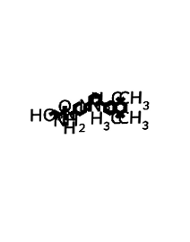 CC1(C)CCC(C)(C)c2cc(-c3cccc(N4CCC(NC(=O)[C@@H](N)CO)CC4)n3)ccc21